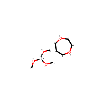 C1COCCOC1.CO[SiH](OC)OC